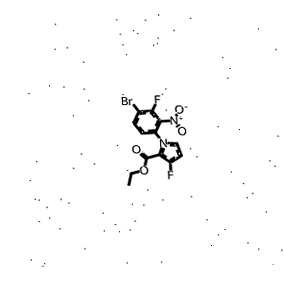 CCOC(=O)c1c(F)ccn1-c1ccc(Br)c(F)c1[N+](=O)[O-]